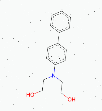 OCCN(CCO)c1ccc(-c2cc[c]cc2)cc1